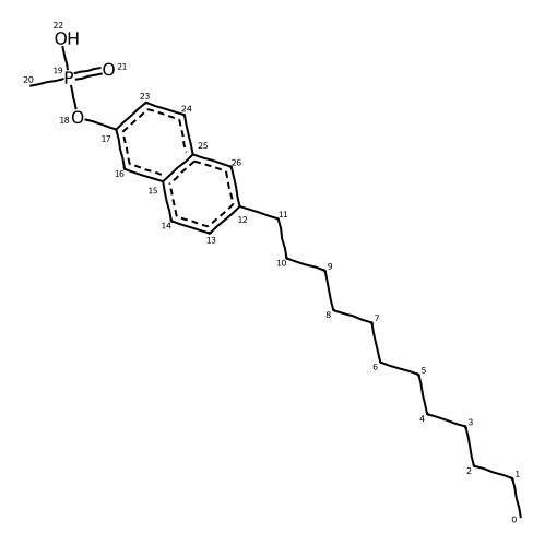 CCCCCCCCCCCCc1ccc2cc(OP(C)(=O)O)ccc2c1